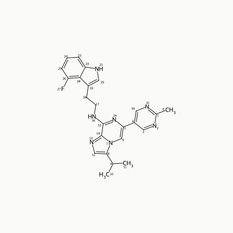 Cc1ncc(-c2cn3c(C(C)C)cnc3c(NCCc3c[nH]c4cccc(F)c34)n2)cn1